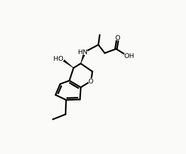 CCc1ccc2c(c1)OC[C@H](NC(C)CC(=O)O)[C@@H]2O